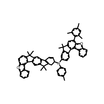 Cc1ccc(N(c2ccc3c(c2)C(C)(C)c2cc(-c4c(C)cc(C)cc4C)c4oc5ccccc5c4c2-3)C2C=CC3=C(C2)C(C)(C)c2cc4c(cc23)C(C)(C)c2ccc3oc5ccccc5c3c2-4)cc1